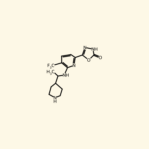 CC(Nc1nc(-c2n[nH]c(=O)o2)ccc1C(F)(F)F)C1CCNCC1